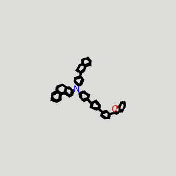 c1cc(-c2ccc(-c3ccc(N(c4ccc(-c5ccc6ccccc6c5)cc4)c4ccc5c(ccc6ccccc65)c4)cc3)cc2)cc(-c2cc3ccccc3o2)c1